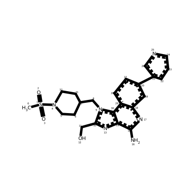 CS(=O)(=O)N1CCC(Cn2c(CO)nc3c(N)nc4cc(-c5cccnc5)ccc4c32)CC1